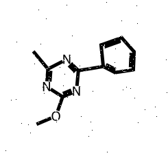 COc1nc(C)nc(-c2ccccc2)n1